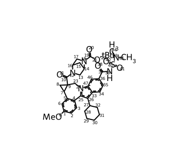 COc1ccc2c(c1)C1CC1(C(=O)N1CC3CC1CN3C(=O)OC(C)(C)C)Cn1c-2c(C2CCCCC2)c2ccc(C(=O)NS(=O)(=O)N(C)C)cc21